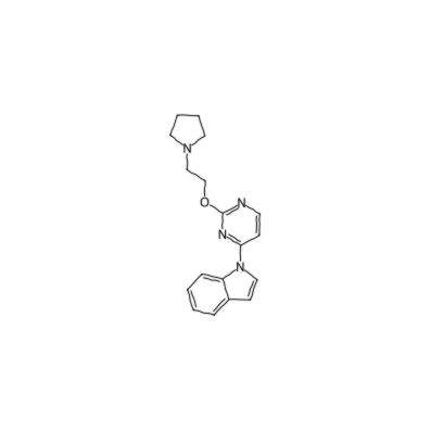 c1ccc2c(c1)ccn2-c1ccnc(OCCN2CCCC2)n1